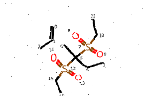 C=CC.CCC(C)(S(=O)(=O)CC)S(=O)(=O)CC